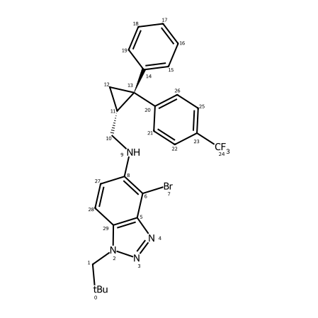 CC(C)(C)Cn1nnc2c(Br)c(NC[C@@H]3C[C@]3(c3ccccc3)c3ccc(C(F)(F)F)cc3)ccc21